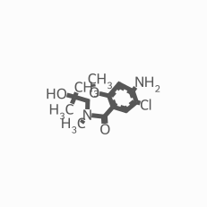 COc1cc(N)c(Cl)cc1C(=O)N(C)CC(C)(C)O